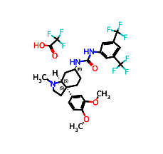 COc1ccc([C@@]23CC[C@@H](NC(=O)Nc4cc(C(F)(F)F)cc(C(F)(F)F)c4)C[C@@H]2N(C)CC3)cc1OC.O=C(O)C(F)(F)F